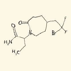 CCC(C(N)=O)N1CCC(CC(F)(F)Br)CCC1=O